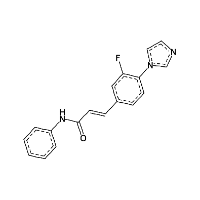 O=C(C=Cc1ccc(-n2ccnc2)c(F)c1)Nc1ccccc1